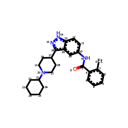 CCc1ccccc1C(=O)Nc1ccc2[nH]nc(C3CCN(C4CCCCC4)CC3)c2c1